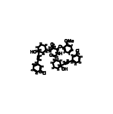 COc1ccccc1OC(NC(=O)[C@H]1CCC[C@@](O)(C#Cc2cccc(Cl)c2)C1)C(=O)N[C@H]1CCC[C@@](O)(C#Cc2cccc(Cl)c2)C1